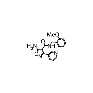 COc1ccccc1CNC(=O)c1c(-c2cccnc2)noc1N